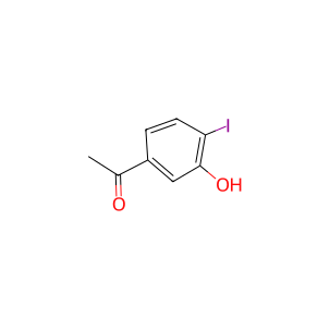 CC(=O)c1ccc(I)c(O)c1